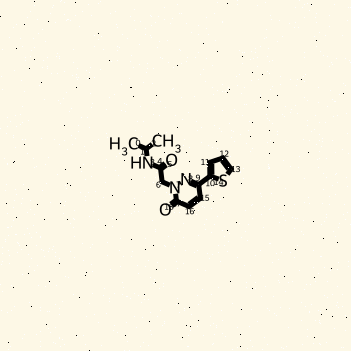 CC(C)NC(=O)Cn1nc(-c2cccs2)ccc1=O